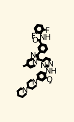 COc1cc(N2CCC(N3CCCCC3)CC2)ccc1Nc1nccc(-c2c(-c3cccc(C(=O)Nc4c(F)cccc4F)c3)nc3cc(C)ccn23)n1